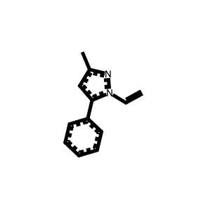 C=Cn1nc(C)cc1-c1ccccc1